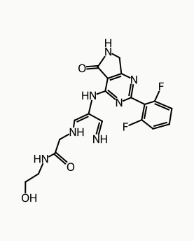 N=C/C(=C\NCC(=O)NCCO)Nc1nc(-c2c(F)cccc2F)nc2c1C(=O)NC2